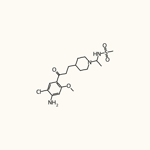 COc1cc(N)c(Cl)cc1C(=O)CCC1CCN(C(C)NS(C)(=O)=O)CC1